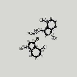 O=[PH](Oc1cn(Br)c2cccc(Cl)c12)Oc1cn(Br)c2cccc(Cl)c12